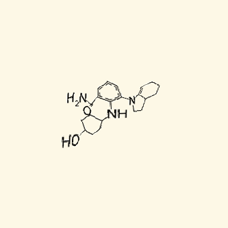 NC(=O)c1cccc(N2CCC3CCCC=C32)c1NC1CCC(O)CC1